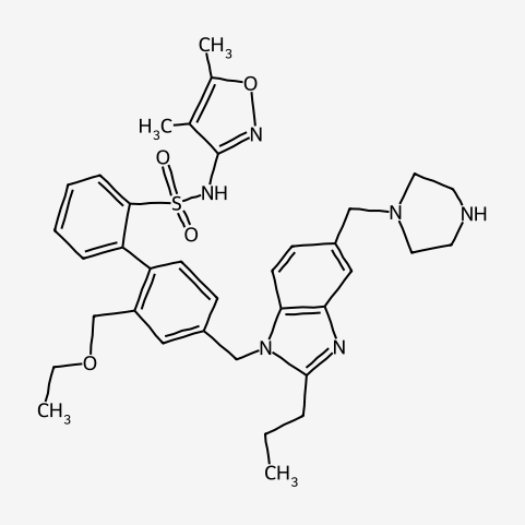 CCCc1nc2cc(CN3CCNCC3)ccc2n1Cc1ccc(-c2ccccc2S(=O)(=O)Nc2noc(C)c2C)c(COCC)c1